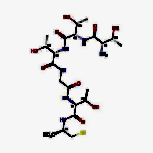 C[C@@H](O)[C@H](N)C(=O)N[C@H](C(=O)N[C@H](C(=O)NCC(=O)N[C@H](C(=O)N[C@@H](CS)C(=O)O)[C@@H](C)O)[C@@H](C)O)[C@@H](C)O